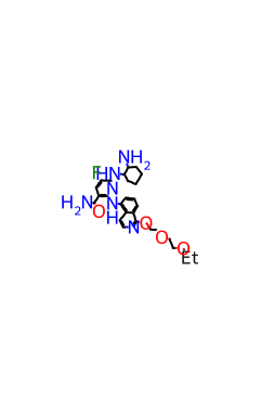 CCOCCOCCOc1nccc2c(Nc3nc(NC4CCCCC4N)c(F)cc3C(N)=O)cccc12